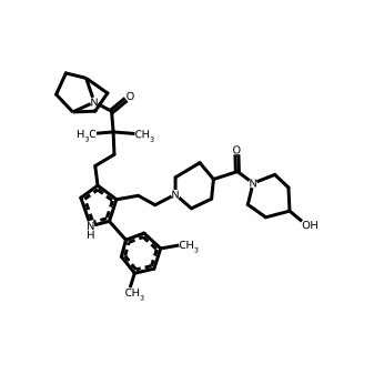 Cc1cc(C)cc(-c2[nH]cc(CCC(C)(C)C(=O)N3C4CCC3CC4)c2CCN2CCC(C(=O)N3CCC(O)CC3)CC2)c1